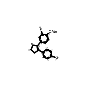 COc1ccc(C2=C(c3ccc(S)cc3)CCC2)cc1F